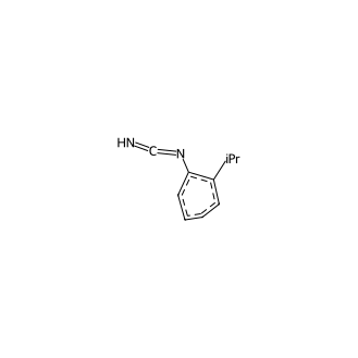 CC(C)c1ccccc1N=C=N